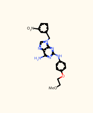 COCCOc1ccc(Nc2nc(N)c3ncn(Cc4cccc([N+](=O)[O-])c4)c3n2)cc1